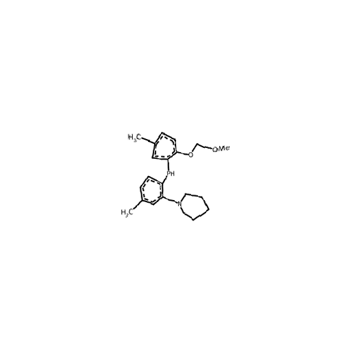 COCOc1ccc(C)cc1Pc1ccc(C)cc1N1CCCCC1